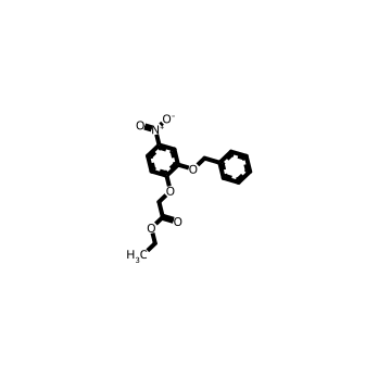 CCOC(=O)COc1ccc([N+](=O)[O-])cc1OCc1ccccc1